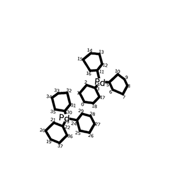 C1CC[CH]([Pd]([CH]2CCCCC2)[CH]2CCCCC2)CC1.C1CC[CH]([Pd]([CH]2CCCCC2)[CH]2CCCCC2)CC1